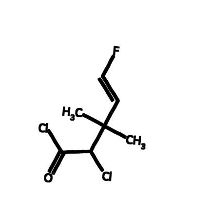 CC(C)(C=CF)C(Cl)C(=O)Cl